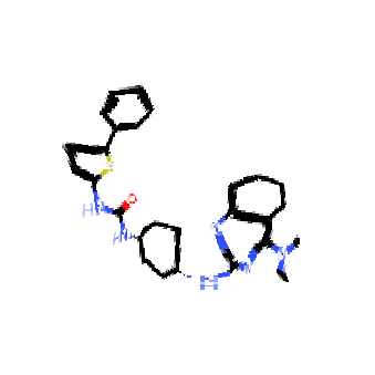 CN(C)c1nc(N[C@H]2CC[C@@H](NC(=O)Nc3ccc(-c4ccccc4)s3)CC2)nc2c1CCCC2